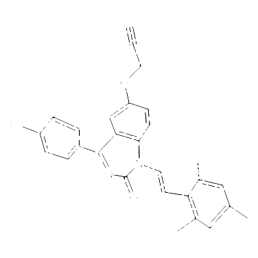 C#CCOc1ccc2c(c1)c(-c1ccc(C(C)C)cc1)nc(=O)n2C=Cc1c(C)cc(C)cc1C